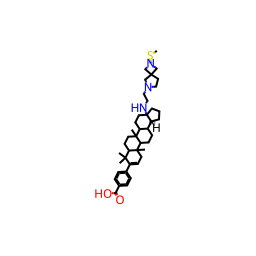 CSN1CC2(CCN(CCNC34CCC[C@@H]3C3CCC5C(C)(CCC6C(C)(C)C(c7ccc(C(=O)O)cc7)=CCC65C)C3CC4)C2)C1